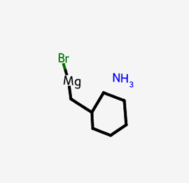 N.[Br][Mg][CH2]C1CCCCC1